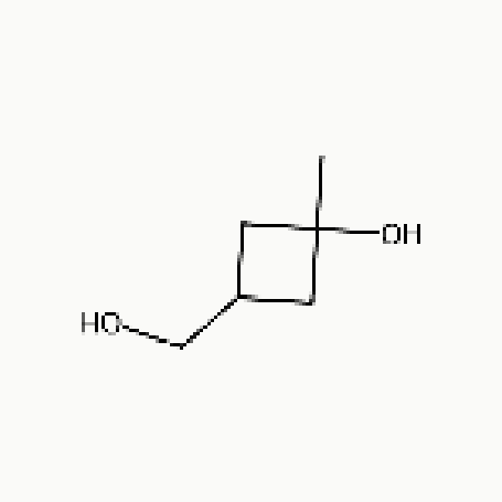 CC1(O)CC(CO)C1